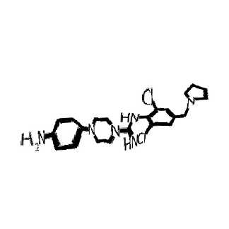 N=C(Nc1c(Cl)cc(CN2CCCC2)cc1Cl)N1CCN(c2ccc(N)cc2)CC1